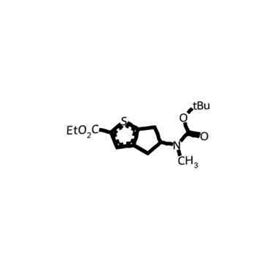 CCOC(=O)c1cc2c(s1)CC(N(C)C(=O)OC(C)(C)C)C2